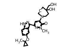 Cn1nc(-c2n[nH]c3ccc(OC4(C)CC4)cc23)cc(N2CCCC(O)(CO)CC2)c1=O